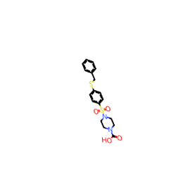 O=C(O)N1CCN(S(=O)(=O)c2ccc(SCc3ccccc3)cc2)CC1